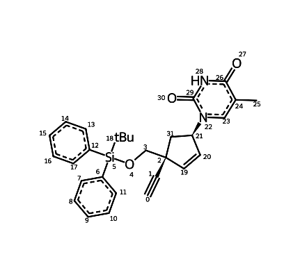 C#C[C@]1(CO[Si](c2ccccc2)(c2ccccc2)C(C)(C)C)C=C[C@H](n2cc(C)c(=O)[nH]c2=O)C1